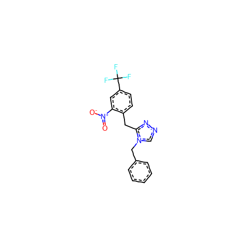 O=[N+]([O-])c1cc(C(F)(F)F)ccc1Cc1nncn1Cc1ccccc1